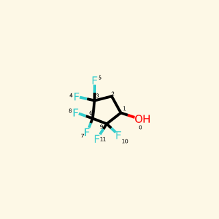 OC1CC(F)(F)C(F)(F)C1(F)F